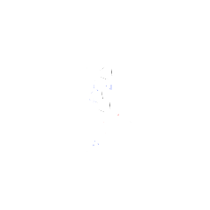 COc1cc2c(Nc3ccc(Cl)c(Cl)c3Cl)ncnc2cc1OCC1CN(C)CCO1